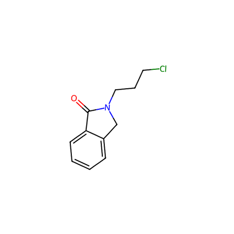 O=C1c2ccccc2CN1CCCCl